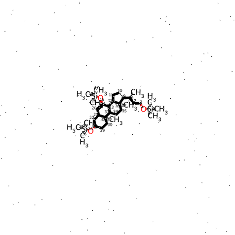 C[C@H](CCO[Si](C)(C)C)[C@H]1CCC2C3C(O[Si](C)(C)C)=CC4C[C@H](O[Si](C)(C)C)CC[C@]4(C)C3CC[C@@]21C